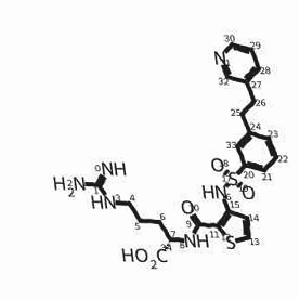 N=C(N)NCCC[C@H](NC(=O)c1sccc1NS(=O)(=O)c1cccc(CCc2cccnc2)c1)C(=O)O